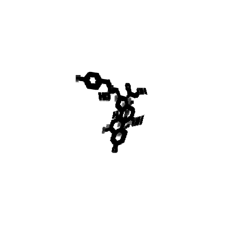 C[C@]12C[C@H](O)[C@@]3(F)[C@@H](C[C@H](F)C4=CC(=O)C=C[C@@]43C)C1C[C@@H](CN(O)Cc1ccc(F)cc1)[C@@H]2C(=O)CO